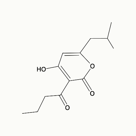 CCCC(=O)c1c(O)cc(CC(C)C)oc1=O